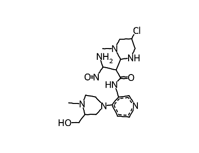 CN1CCN(c2ccncc2NC(=O)C(C(N)N=O)C2NCC(Cl)CN2C)CC1CO